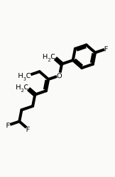 C=C(/C=C(\CC)OC(=C)c1ccc(F)cc1)CCC(F)F